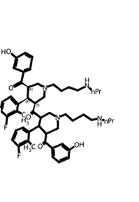 CCCNCCCCN1CC(C(=O)c2cccc(O)c2)C(c2cccc(F)c2C)C(C(=O)[C@@H]2CN(CCCCNCCC)C[C@H](C(=O)c3cccc(O)c3)[C@@H]2c2cccc(F)c2C)C1